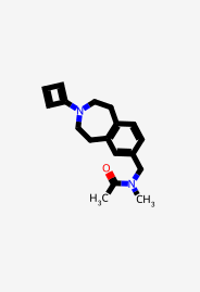 CC(=O)N(C)Cc1ccc2c(c1)CCN(C1=CC=C1)CC2